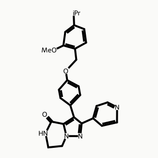 COc1cc(C(C)C)ccc1COc1ccc(-c2c(-c3ccncc3)nn3c2C(=O)NCC3)cc1